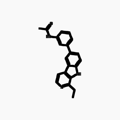 CCc1nccc2c1[nH]c1ccc(-c3cccc(NC(C)=O)c3)cc12